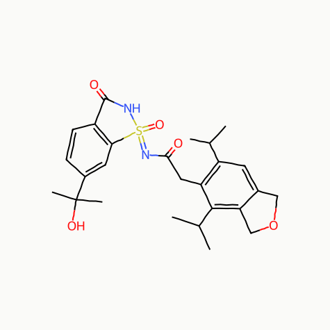 CC(C)c1cc2c(c(C(C)C)c1CC(=O)N=S1(=O)NC(=O)c3ccc(C(C)(C)O)cc31)COC2